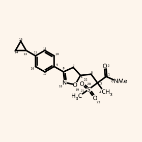 CNC(=O)C(C)(CC1CC(c2ccc(C3CC3)cc2)=NO1)S(C)(=O)=O